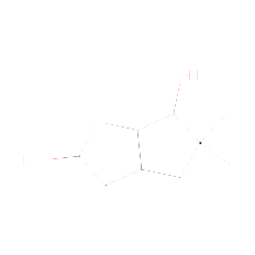 CC1(C)CC2CC(O)OC2C1O